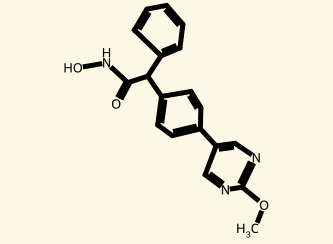 COc1ncc(-c2ccc(C(C(=O)NO)c3ccccc3)cc2)cn1